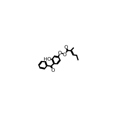 CCC=C(C)C(=O)OOc1ccc(C(=O)c2ccccc2)c(O)c1